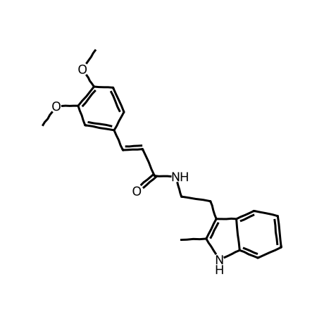 COc1ccc(/C=C/C(=O)NCCc2c(C)[nH]c3ccccc23)cc1OC